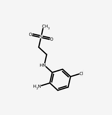 CS(=O)(=O)CCNc1cc(Cl)ccc1N